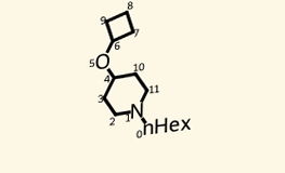 CCCCCCN1CCC(OC2CCC2)CC1